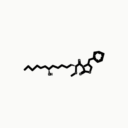 CCCCCC[C@@H](O)CCCCC[C@@H](OC)C(=O)N1C(=O)OCC1Cc1ccccc1